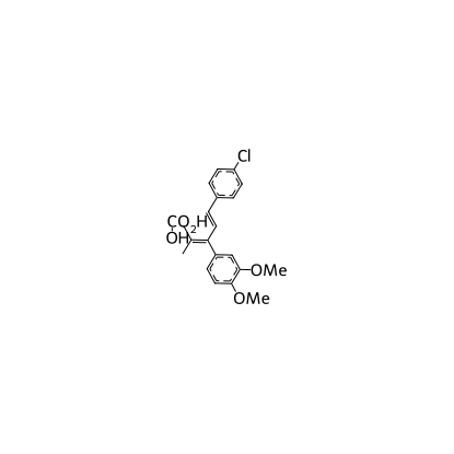 COc1ccc(C(C=Cc2ccc(Cl)cc2)=C(C)C)cc1OC.O=C(O)O